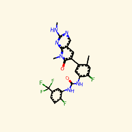 CNc1ncc2cc(-c3cc(NC(=O)Nc4cc(C(F)(F)F)ccc4F)c(F)cc3C)c(=O)n(C)c2n1